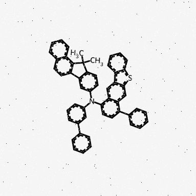 CC1(C)c2ccc(N(c3cccc(-c4ccccc4)c3)c3ccc(-c4ccccc4)c4cc5sc6ccccc6c5cc34)cc2-c2ccc3ccccc3c21